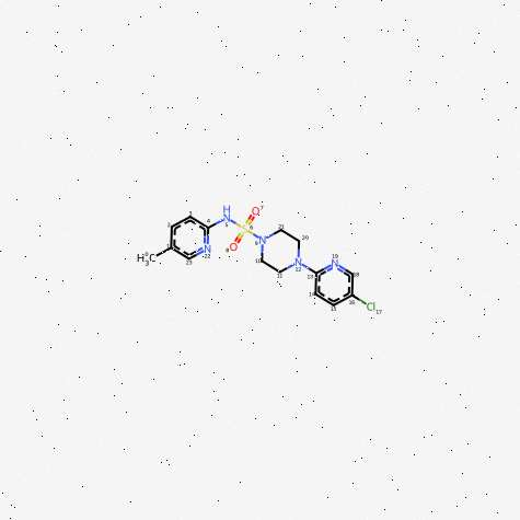 Cc1ccc(NS(=O)(=O)N2CCN(c3ccc(Cl)cn3)CC2)nc1